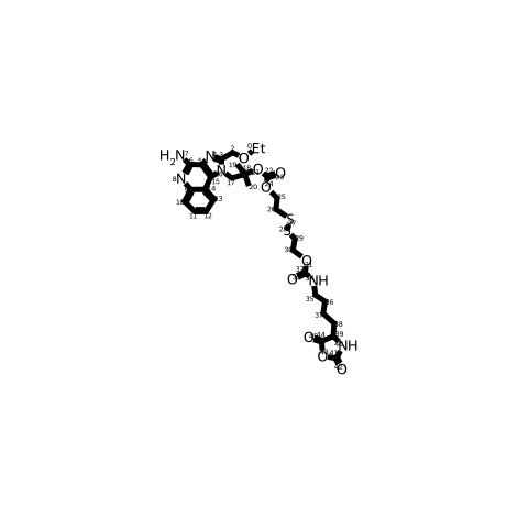 CCOCc1nc2c(N)nc3ccccc3c2n1CC(C)(C)OC(=O)OCCSSCCOC(=O)NCCCCC1NC(=O)OC1=O